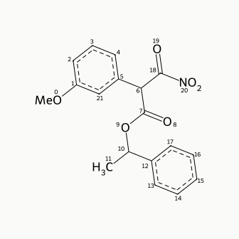 COc1cccc(C(C(=O)OC(C)c2ccccc2)C(=O)[N+](=O)[O-])c1